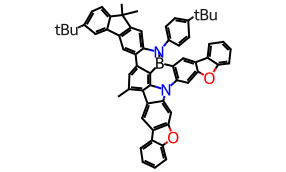 Cc1cc2c3c4c1c1cc5c(cc1n4-c1cc4oc6ccccc6c4cc1B3N(c1ccc(C(C)(C)C)cc1)c1cc3c(cc1-2)-c1cc(C(C)(C)C)ccc1C3(C)C)oc1ccccc15